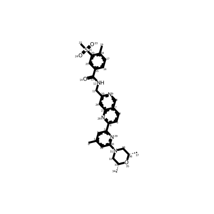 Cc1cc(-c2ccc3cnc(CNC(=O)c4ccc(C)c(S(C)(=O)=O)c4)cc3n2)nc(N2C[C@@H](C)O[C@@H](C)C2)c1